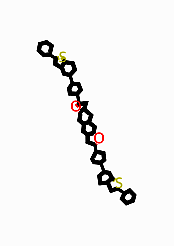 c1ccc(-c2cc3cc(-c4ccc(-c5cc6cc7cc8oc(-c9ccc(-c%10ccc%11cc(-c%12ccccc%12)sc%11c%10)cc9)cc8cc7cc6o5)cc4)ccc3s2)cc1